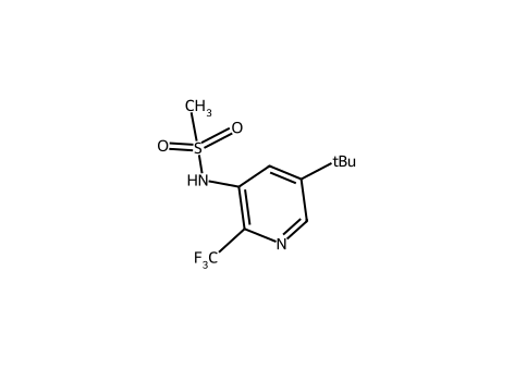 CC(C)(C)c1cnc(C(F)(F)F)c(NS(C)(=O)=O)c1